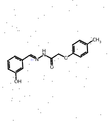 Cc1ccc(OCC(=O)N/N=C/c2cccc(O)c2)cc1